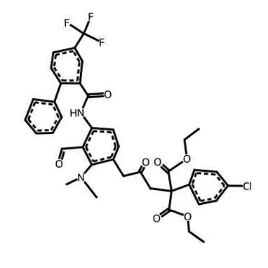 CCOC(=O)C(CC(=O)Cc1ccc(NC(=O)c2cc(C(F)(F)F)ccc2-c2ccccc2)c(C=O)c1N(C)C)(C(=O)OCC)c1ccc(Cl)cc1